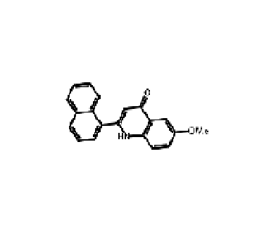 COc1ccc2[nH]c(-c3cccc4ccccc34)cc(=O)c2c1